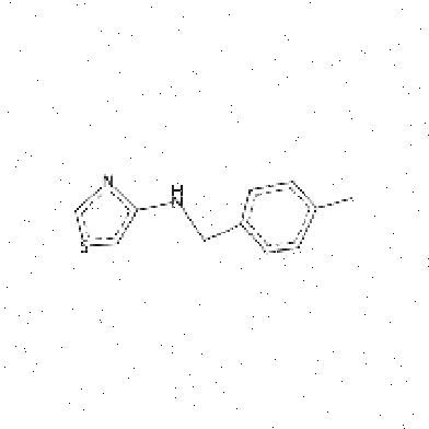 Cc1ccc(CNc2cscn2)cc1